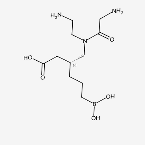 NCCN(C[C@H](CCCB(O)O)CC(=O)O)C(=O)CN